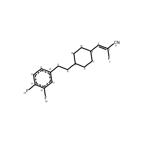 N#CC(F)=CC1CCC(CCc2ccc(F)c(F)c2)CC1